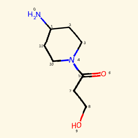 NC1CCN(C(=O)CCO)CC1